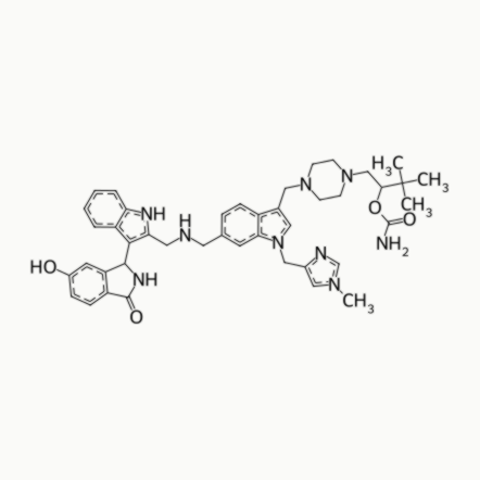 Cn1cnc(Cn2cc(CN3CCN(CC(OC(N)=O)C(C)(C)C)CC3)c3ccc(CNCc4[nH]c5ccccc5c4C4NC(=O)c5ccc(O)cc54)cc32)c1